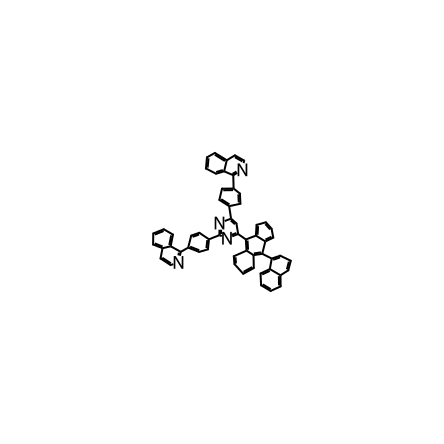 c1ccc2c(-c3c4ccccc4c(-c4cc(-c5ccc(-c6nccc7ccccc67)cc5)nc(-c5ccc(-c6nccc7ccccc67)cc5)n4)c4ccccc34)cccc2c1